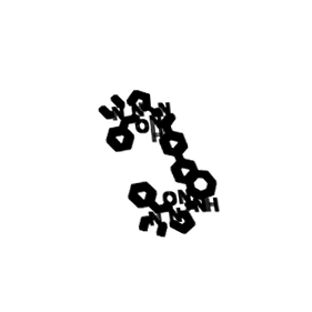 CCN(CC)[C@@H](C(=O)N1CCC[C@H]1c1ncc(-c2ccc(-c3ccc4c(c3)CCCc3[nH]c([C@@H]5CCCN5C(=O)[C@@H](c5ccccc5)N(CC)CC)nc3-4)cc2)[nH]1)c1ccccc1